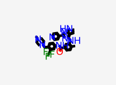 Cc1ccc(C(=O)Nc2ccc(CN3CCN(C)CC3)c(C(F)(F)F)c2)cc1Nc1nc(-c2ccncc2)nc2[nH]ccc12